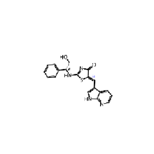 O=C1N=C(N[C@@H](CO)c2ccccc2)S/C1=C\c1c[nH]c2ncccc12